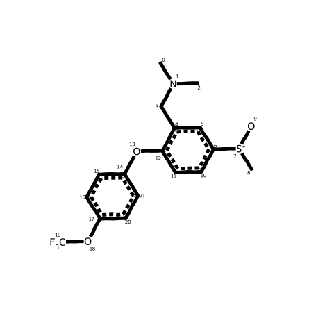 CN(C)Cc1cc([S+](C)[O-])ccc1Oc1ccc(OC(F)(F)F)cc1